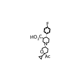 CC(=O)[C@@]1(C2CC2)CC[C@@H](N2CC[C@@H](c3ccc(F)cc3)[C@H](C(=O)O)C2)CO1